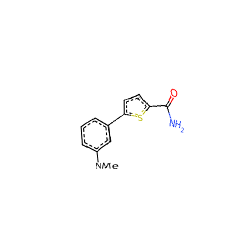 CNc1cccc(-c2ccc(C(N)=O)s2)c1